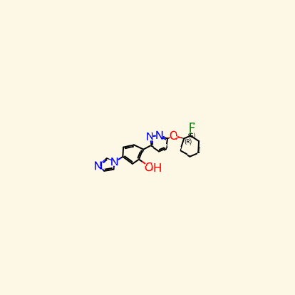 Oc1cc(-n2ccnc2)ccc1-c1ccc(O[C@@H]2CCCC[C@@H]2F)nn1